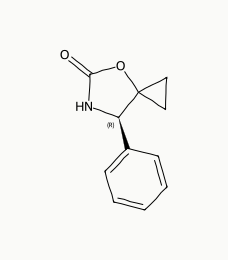 O=C1N[C@H](c2ccccc2)C2(CC2)O1